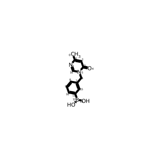 Cc1cc(=O)n(Cc2cccc(B(O)O)c2)cn1